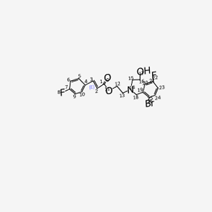 O=C(/C=C/c1ccc(F)cc1)OCCN(CCO)Cc1cc(F)ccc1Br